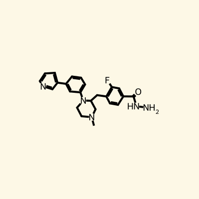 CN1CCN(c2cccc(-c3cccnc3)c2)C(Cc2ccc(C(=O)NN)cc2F)C1